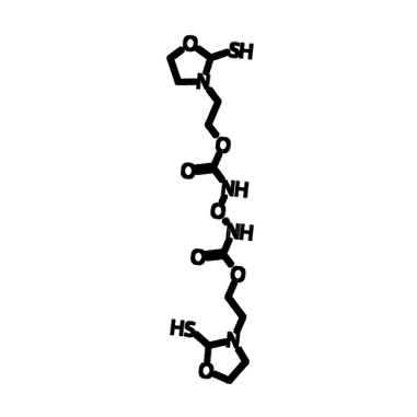 O=C(NONC(=O)OCCN1CCOC1S)OCCN1CCOC1S